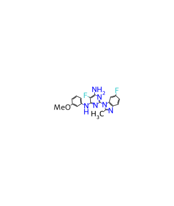 COc1cccc(Nc2nc(-n3c(C)nc4ccc(F)cc43)nc(N)c2F)c1